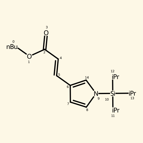 CCCCOC(=O)C=Cc1ccn([Si](C(C)C)(C(C)C)C(C)C)c1